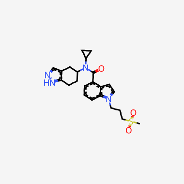 CS(=O)(=O)CCCn1ccc2c(C(=O)N(C3CC3)C3CCc4[nH]ncc4C3)cccc21